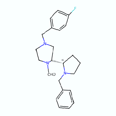 O=CN1CCN(Cc2ccc(F)cc2)CC1[C@@H]1CCCN1Cc1ccccc1